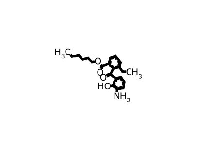 CCCCCCOC(=O)c1cccc(CC)c1C(=O)c1cccc(N)c1O